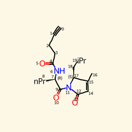 C#CCCC(=O)N[C@H](CCC)C(=O)N1C(=O)C=C(C)[C@@H]1CC(C)C